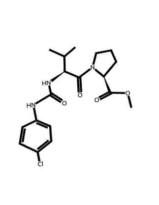 COC(=O)[C@@H]1CCCN1C(=O)[C@@H](NC(=O)Nc1ccc(Cl)cc1)C(C)C